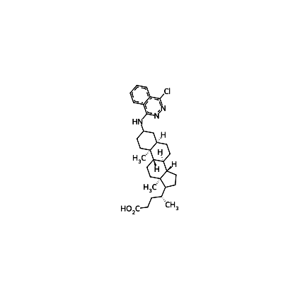 C[C@H](CCC(=O)O)C1CC[C@H]2[C@@H]3CC[C@@H]4CC(Nc5nnc(Cl)c6ccccc56)CC[C@]4(C)[C@H]3CC[C@]12C